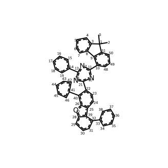 CC1(C)c2ccccc2-c2c(-c3nc(-c4ccccc4)nc(-c4ccc5c(oc6cccc(-c7ccccc7)c65)c4-c4ccccc4)n3)cccc21